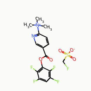 C[N+](C)(C)c1ccc(C(=O)Oc2c(F)c(F)cc(F)c2F)cn1.O=S(=O)([O-])CF